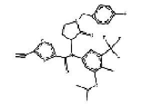 C#Cc1nc(C(=O)N(c2cc(OC(C)C)c(C)c(C(F)(F)F)c2)C2CCN(Cc3ccc(F)cc3)C2=O)cs1